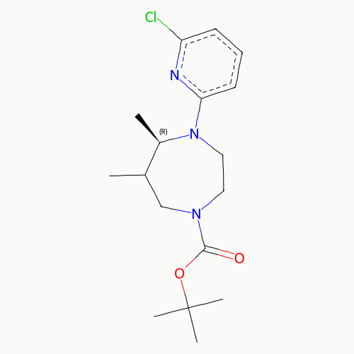 CC1CN(C(=O)OC(C)(C)C)CCN(c2cccc(Cl)n2)[C@@H]1C